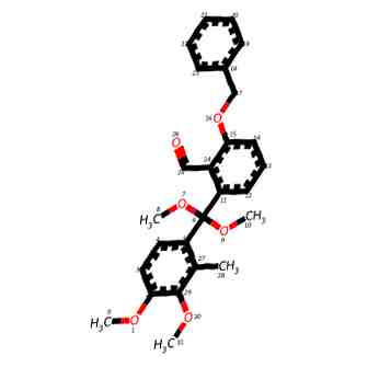 COc1ccc(C(OC)(OC)c2cccc(OCc3ccccc3)c2C=O)c(C)c1OC